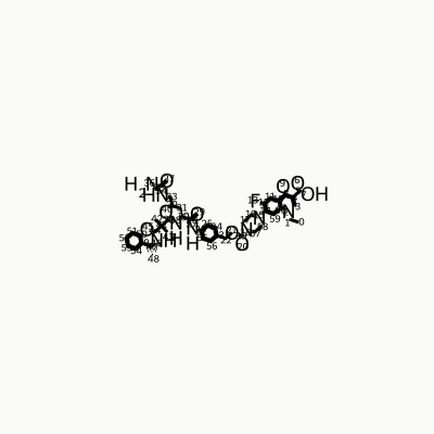 CCn1cc(C(=O)O)c(=O)c2cc(F)c(N3CCN(C(=O)OCc4ccc(NC(=O)[C@H](CCCNC(N)=O)NC(=O)C(C)(C)C(=O)N[C@H](C)c5ccccc5)cc4)CC3)cc21